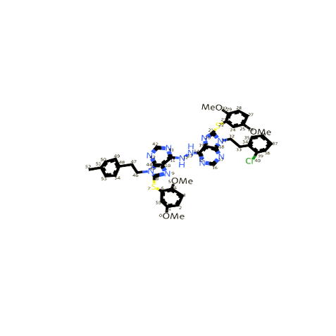 COc1ccc(OC)c(Sc2nc3c(NNc4ncnc5c4nc(Sc4cc(OC)ccc4OC)n5CCc4ccccc4Cl)ncnc3n2CCc2ccc(C)cc2)c1